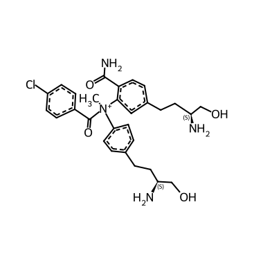 C[N+](C(=O)c1ccc(Cl)cc1)(c1ccc(CC[C@H](N)CO)cc1)c1cc(CC[C@H](N)CO)ccc1C(N)=O